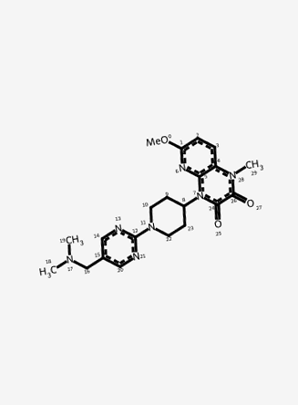 COc1ccc2c(n1)n(C1CCN(c3ncc(CN(C)C)cn3)CC1)c(=O)c(=O)n2C